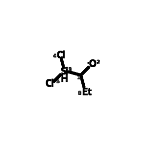 CCC([O])[SiH](Cl)Cl